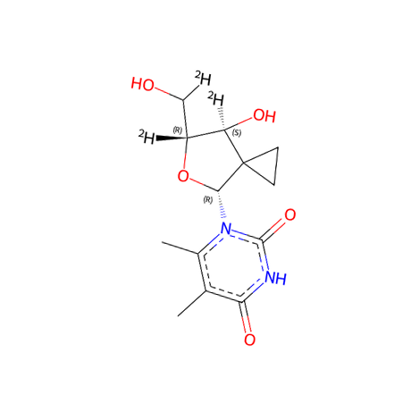 [2H]C(O)[C@@]1([2H])O[C@@H](n2c(C)c(C)c(=O)[nH]c2=O)C2(CC2)[C@]1([2H])O